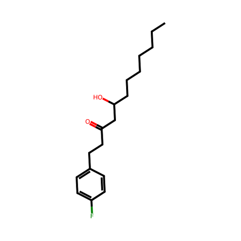 CCCCCCCC(O)CC(=O)CCc1ccc(F)cc1